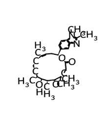 CC1=CC[C@@H](c2ccc3c(c2)nc(C)n3C)OC(=O)CCC(C)(C)C(=O)[C@H](C)C(O)[C@@H](C)CCC1